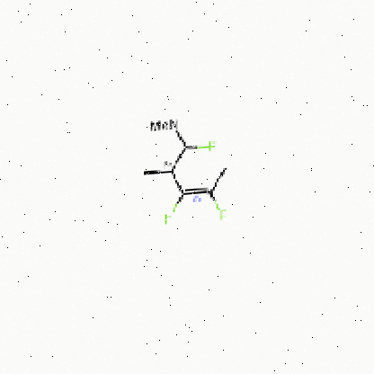 CNC(F)[C@H](C)/C(F)=C(\C)F